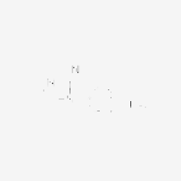 CC(C)(C)c1ccc(NC(N)N)cc1